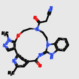 Cc1cc2cc(n1)-c1cnn(C)c1OCCN(C(=O)CC#N)CCN1/C(=N/C2=O)Nc2ccccc21